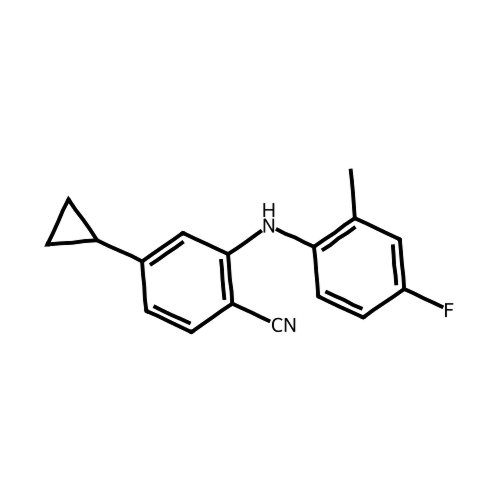 Cc1cc(F)ccc1Nc1cc(C2CC2)ccc1C#N